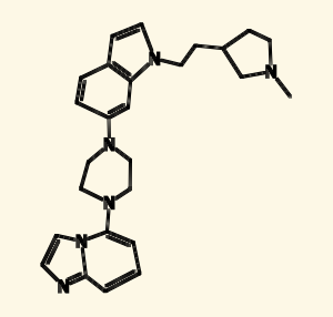 CN1CCC(CCn2ccc3ccc(N4CCN(c5cccc6nccn56)CC4)cc32)C1